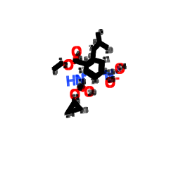 CCOC(=O)c1c(CC(C)C)cc([N+](=O)[O-])cc1NC(=O)OC1CC1